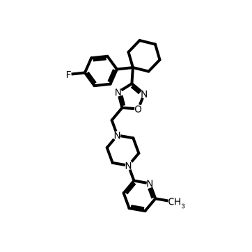 Cc1cccc(N2CCN(Cc3nc(C4(c5ccc(F)cc5)CCCCC4)no3)CC2)n1